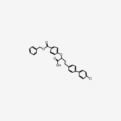 O=C(OCc1ccccc1)c1ccc(OC(CCc2ccc(-c3ccc(Cl)cc3)cc2)C(=O)O)cc1